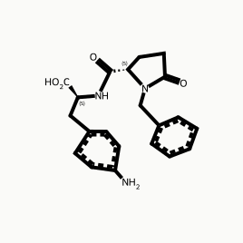 Nc1ccc(C[C@H](NC(=O)[C@@H]2CCC(=O)N2Cc2ccccc2)C(=O)O)cc1